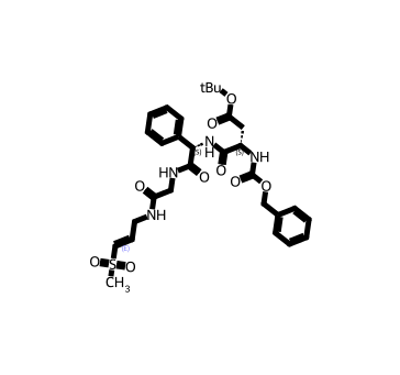 CC(C)(C)OC(=O)C[C@H](NC(=O)OCc1ccccc1)C(=O)N[C@H](C(=O)NCC(=O)NC/C=C/S(C)(=O)=O)c1ccccc1